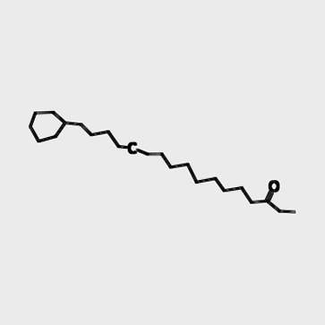 CCC(=O)CCCCCCCCCCCCCCC1CCCCC1